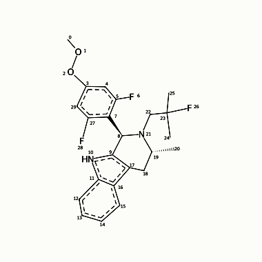 COOc1cc(F)c([C@@H]2c3[nH]c4ccccc4c3C[C@@H](C)N2CC(C)(C)F)c(F)c1